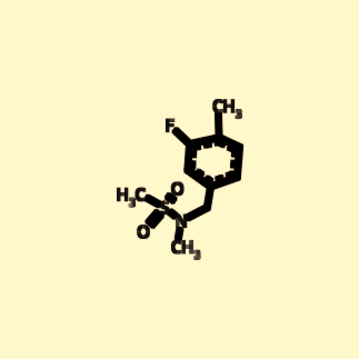 Cc1ccc(CN(C)S(C)(=O)=O)cc1F